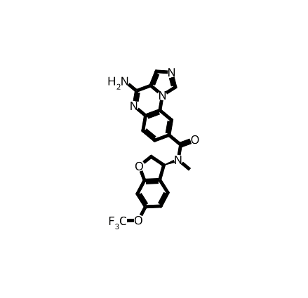 CN(C(=O)c1ccc2nc(N)c3cncn3c2c1)[C@@H]1COc2cc(OC(F)(F)F)ccc21